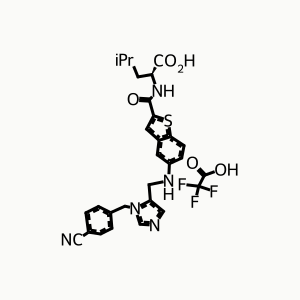 CC(C)C[C@H](NC(=O)c1cc2cc(NCc3cncn3Cc3ccc(C#N)cc3)ccc2s1)C(=O)O.O=C(O)C(F)(F)F